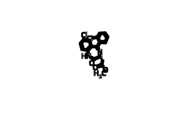 COC(=O)C[C@H]1N=C(c2ccccc2Cl)c2cc(Cl)ccc2NC1=O